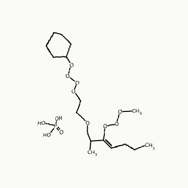 CCCC=C(OOOC)C(C)COCCOOOOC1CCCCC1.O=P(O)(O)O